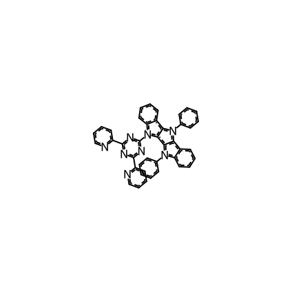 c1ccc(-n2c3ccccc3c3c2c2c(c4ccccc4n2-c2nc(-c4ccccn4)nc(-c4ccccn4)n2)n3-c2ccccc2)cc1